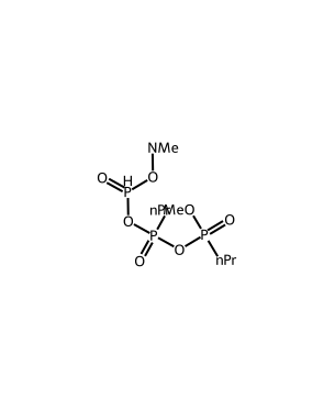 CCCP(=O)(OC)OP(=O)(CCC)O[PH](=O)ONC